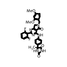 COc1ccc(CN2Cc3nc(-c4c(F)cccc4F)nc(Nc4ccc([C@@]5(C)NC(=O)NC5=O)cc4)c3C2=O)c(OC)c1